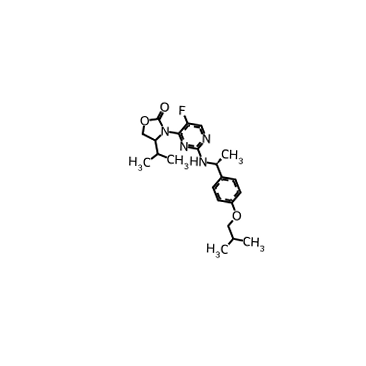 CC(C)COc1ccc([C@H](C)Nc2ncc(F)c(N3C(=O)OCC3C(C)C)n2)cc1